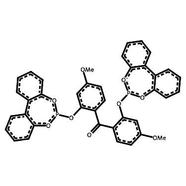 COc1ccc(C(=O)c2ccc(OC)cc2Op2oc3ccccc3c3ccccc3o2)c(Op2oc3ccccc3c3ccccc3o2)c1